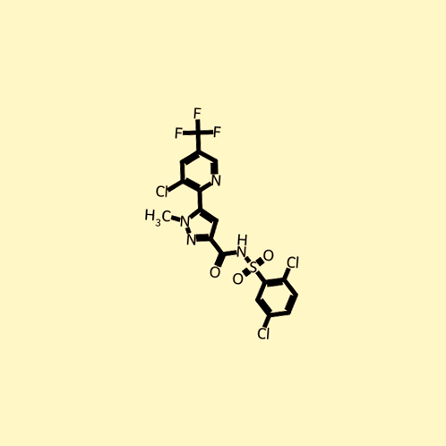 Cn1nc(C(=O)NS(=O)(=O)c2cc(Cl)ccc2Cl)cc1-c1ncc(C(F)(F)F)cc1Cl